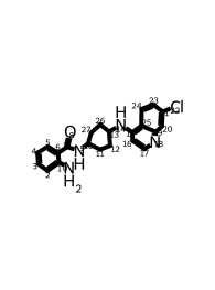 Nc1ccccc1C(=O)NC1CCC(Nc2ccnc3cc(Cl)ccc23)CC1